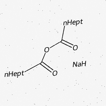 CCCCCCCC(=O)OC(=O)CCCCCCC.[NaH]